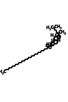 CCCCCCCCCCCCCCCCCCCCCCCCCCCC(=O)O[C@H]1CC[C@@]2(C)C(=CC[C@H]3[C@@H]4CC[C@H]([C@H](C)CCCC(C)C)[C@@]4(C)CC[C@@H]32)C1